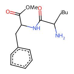 CCC(C)C(N)C(=O)NC(Cc1ccccc1)C(=O)OC